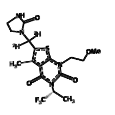 [2H]C([2H])(c1sc2c(c1C)c(=O)n([C@H](C)C(F)(F)F)c(=O)n2CCOC)N1CCNC1=O